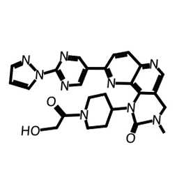 CN1Cc2cnc3ccc(-c4cnc(-n5cccn5)nc4)nc3c2N(C2CCN(C(=O)CO)CC2)C1=O